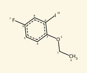 CCOc1ccc(F)cc1I